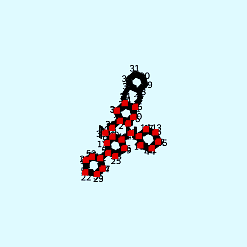 N#Cc1cc2c(cc1N(c1ccccc1)c1ccc(-c3ccccc3)cc1)C1c3ccccc3C2c2cc(C#N)c(N(c3ccccc3)c3ccc(-c4ccccc4)cc3)cc21